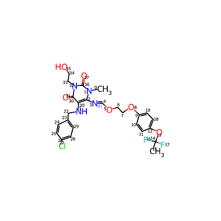 Cn1c(/N=C/OCCOc2ccc(OC(C)(F)F)cc2)c(NCc2ccc(Cl)cc2)c(=O)n(CCO)c1=O